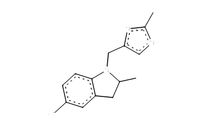 Cc1nc(CN2c3ccc(Cl)cc3CC2C)c[nH]1